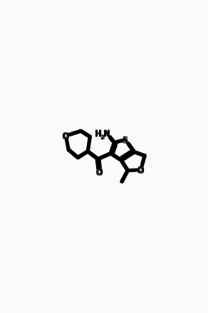 CC1OCc2sc(N)c(C(=O)C3CCOCC3)c21